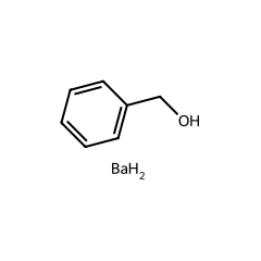 OCc1ccccc1.[BaH2]